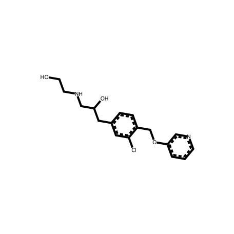 OCCNCC(O)Cc1ccc(COc2cccnc2)c(Cl)c1